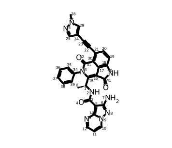 C[C@H](NC(=O)c1c(N)nn2cccnc12)c1c2c3c(ccc(C#Cc4cnn(C)c4)c3c(=O)n1-c1ccccc1)NC2=O